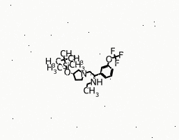 CCNC(CN1CC[C@H](O[Si](C)(C)C(C)(C)C)C1)c1cccc(OC(F)(F)F)c1